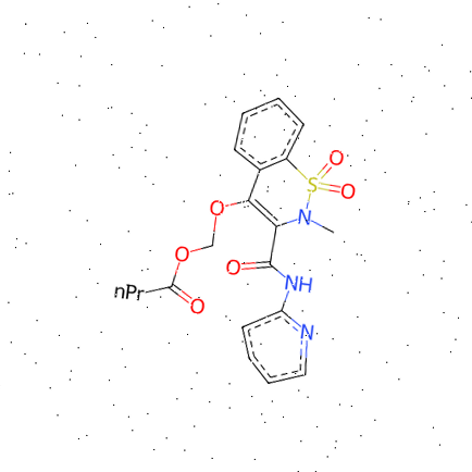 CCCC(=O)OCOC1=C(C(=O)Nc2ccccn2)N(C)S(=O)(=O)c2ccccc21